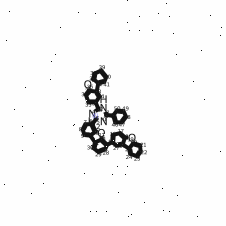 NC(NC(/N=C/c1cccc2c1oc1c(-c3ccc4oc5ccccc5c4c3)cccc12)c1ccc2oc3ccccc3c2c1)c1ccccc1